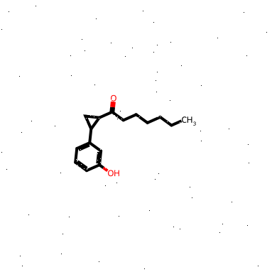 CCCCCCC(=O)C1CC1c1cccc(O)c1